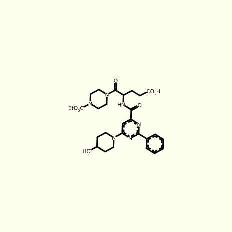 CCOC(=O)N1CCN(C(=O)C(CCC(=O)O)NC(=O)c2cc(N3CCC(O)CC3)nc(-c3ccccc3)n2)CC1